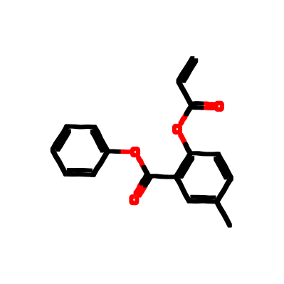 C=CC(=O)Oc1ccc(C)cc1C(=O)Oc1ccccc1